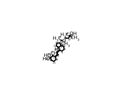 C=C1/C(=C\C=C2/CCC[C@]3(C)[C@@H](C(C)OCCC(C)(C)O)CC[C@@H]23)CCCC1(O)O